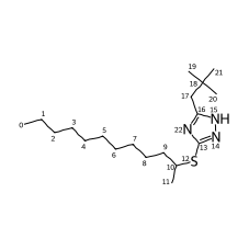 CCCCCCCCCCC(C)Sc1n[nH]c(CC(C)(C)C)n1